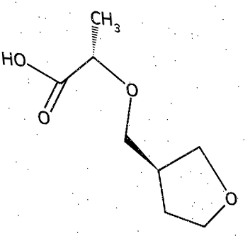 C[C@H](OC[C@@H]1CCOC1)C(=O)O